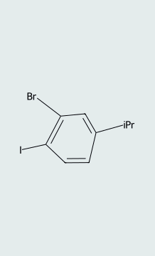 CC(C)c1ccc(I)c(Br)c1